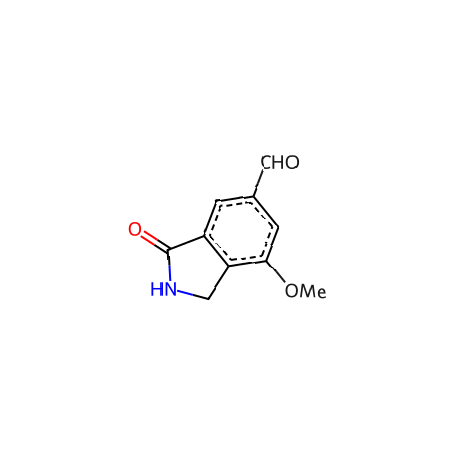 COc1cc(C=O)cc2c1CNC2=O